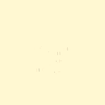 CC(C)(C)CC(C)(C)c1c[c]ccc1O